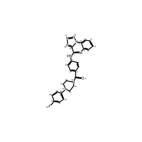 O=C(c1ccc(Nc2nc3ccccc3n3nnnc23)cc1)N1CCN(c2ccc(F)cc2)CC1